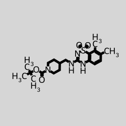 Cc1ccc2c(c1C)S(=O)(=O)N=C(NCC1CCN(C(=O)OC(C)(C)C)CC1)N2